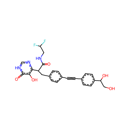 O=C(NCC(F)F)C(Cc1ccc(C#Cc2ccc(C(O)CO)cc2)cc1)c1nc[nH]c(=O)c1O